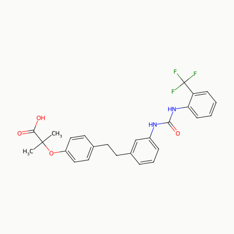 CC(C)(Oc1ccc(CCc2cccc(NC(=O)Nc3ccccc3C(F)(F)F)c2)cc1)C(=O)O